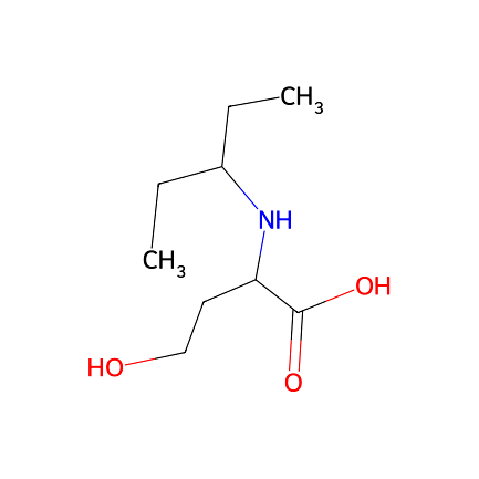 CCC(CC)NC(CCO)C(=O)O